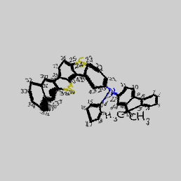 CC1(C)c2ccccc2-c2ccc(N(c3ccccc3)c3ccc4sc5ccc6c7cc8ccccc8cc7sc6c5c4c3)cc21